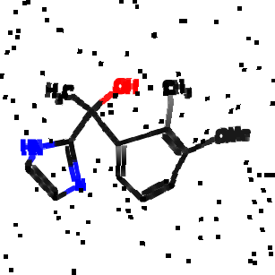 COc1cccc(C(C)(O)c2ncc[nH]2)c1C